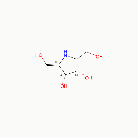 OCC1N[C@H](CO)[C@@H](O)[C@H]1O